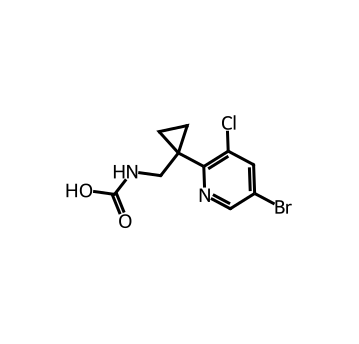 O=C(O)NCC1(c2ncc(Br)cc2Cl)CC1